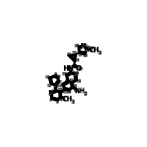 Cc1ccnc(-c2ccccc2)c1-c1cc(N)c2cnc(NC(=O)[C@H]3C[C@@H]3c3cnn(C)c3)cc2c1